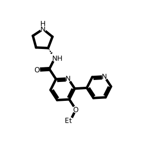 CCOc1ccc(C(=O)N[C@@H]2CCNC2)nc1-c1cccnc1